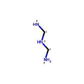 [NH]CNCN